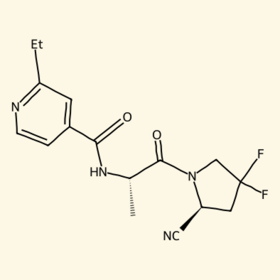 CCc1cc(C(=O)N[C@@H](C)C(=O)N2CC(F)(F)C[C@H]2C#N)ccn1